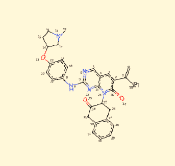 C=C(c1cc2cnc(Nc3ccc(OC4CCN(C)C4)cc3)nc2n(C2Cc3ccccc3CC2=O)c1=O)C(C)C